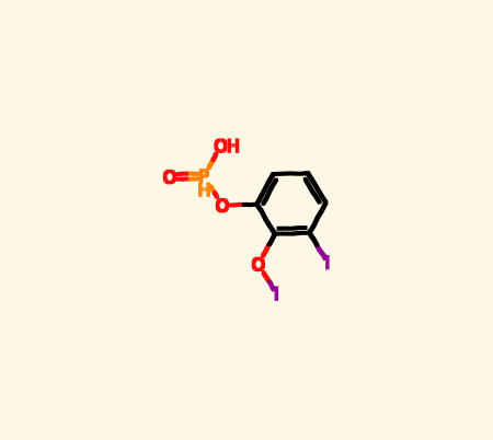 O=[PH](O)Oc1cccc(I)c1OI